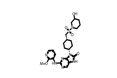 COc1ncccc1Nc1ncc2[nH]c(=O)n([C@H]3CC[C@H](CS(=O)(=O)N4CCCC(O)C4)CC3)c2n1